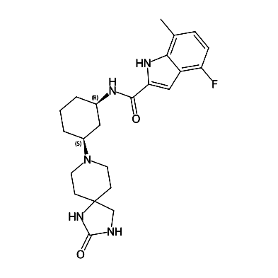 Cc1ccc(F)c2cc(C(=O)N[C@@H]3CCC[C@H](N4CCC5(CC4)CNC(=O)N5)C3)[nH]c12